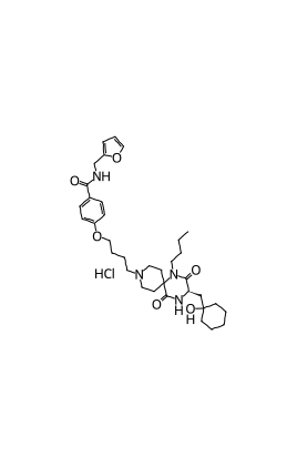 CCCCN1C(=O)[C@@H](CC2(O)CCCCC2)NC(=O)C12CCN(CCCCOc1ccc(C(=O)NCc3ccco3)cc1)CC2.Cl